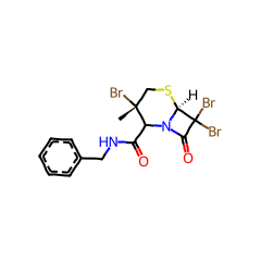 C[C@@]1(Br)CS[C@@H]2N(C(=O)C2(Br)Br)C1C(=O)NCc1ccccc1